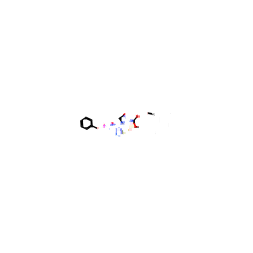 C=C(C)C(C(=O)OCC(C)C)N1C(=O)CC1(NC(=O)NOCc1ccccc1)[S+]([O-])Cl